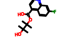 CC(C)(O)C(C)(C)OB(O)c1ccnc2cc(F)ccc12